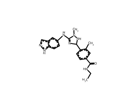 CCNC(=O)c1ccc(C2N=C(Nc3ccc4[nH]ncc4c3)N(C)N2)c(C)c1